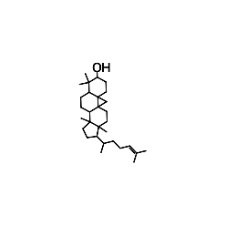 CC(C)=CCCC(C)C1CCC2(C)C3CCC4C(C)(C)C(O)CCC45CC35CCC12C